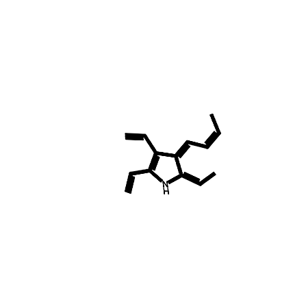 C=Cc1[nH]c(=C/C)/c(=C\C=C/C)c1C=C